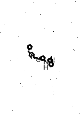 Cc1cc(Nc2cccc(OCCN3CCC(Cc4ccccc4)CC3)c2)c2ccccc2n1